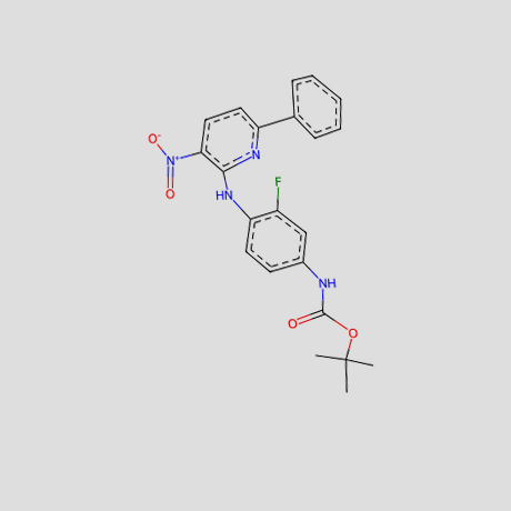 CC(C)(C)OC(=O)Nc1ccc(Nc2nc(-c3ccccc3)ccc2[N+](=O)[O-])c(F)c1